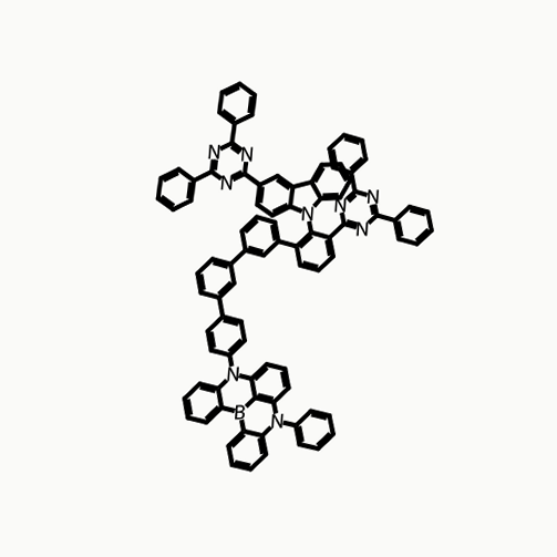 c1ccc(-c2nc(-c3ccccc3)nc(-c3ccc4c(c3)c3ccccc3n4-c3c(-c4cccc(-c5cccc(-c6ccc(N7c8ccccc8B8c9ccccc9N(c9ccccc9)c9cccc7c98)cc6)c5)c4)cccc3-c3nc(-c4ccccc4)nc(-c4ccccc4)n3)n2)cc1